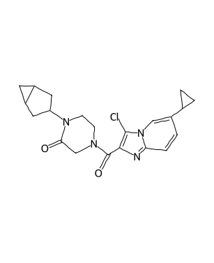 O=C(c1nc2ccc(C3CC3)cn2c1Cl)N1CCN(C2CC3CC3C2)C(=O)C1